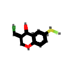 O=C1C(=CCl)COc2ccc(SF)cc21